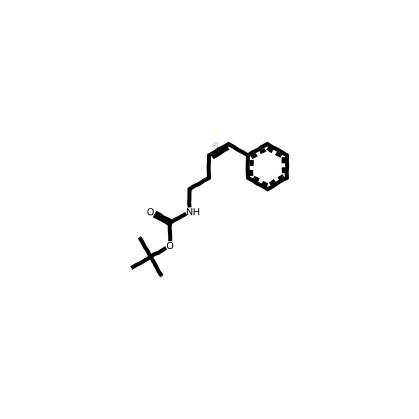 CC(C)(C)OC(=O)NCC/C=C\c1ccccc1